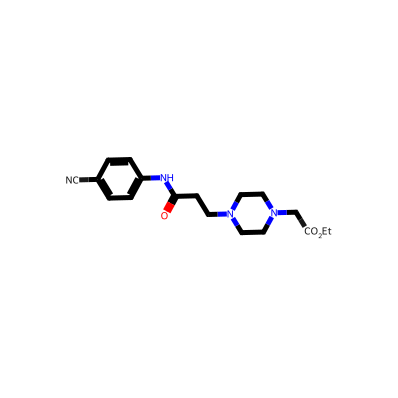 CCOC(=O)CN1CCN(CCC(=O)Nc2ccc(C#N)cc2)CC1